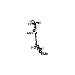 COc1ccc2c(c1)C(=O)NC(c1ccc(OCCCCCCCCCCOc3cc(-c4cc(-c5cc(CO)c(CO)c(CO)c5)on4)ccc3OC)c(CO)c1)N2